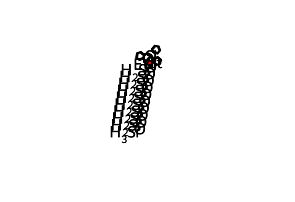 CC[Si](CC)(O[SiH2]O[SiH2]O[SiH2]O[SiH2]O[SiH2]O[SiH2]O[SiH2]O[SiH2]O[SiH2]O[SiH3])O[Si](Cc1ccccc1)(c1ccccc1)c1ccccc1